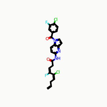 C=CC/C=C(Cl)\C(F)=C/CC(=O)Nc1ccc2c(ccn2C(=O)c2ccc(Cl)c(F)c2)n1